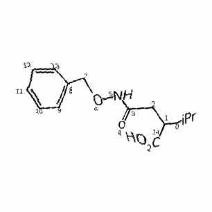 CC(C)C(CC(=O)NOCc1ccccc1)C(=O)O